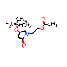 CC(=O)OCCN1CC(O[Si](C)(C)C)CC1=O